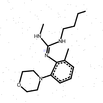 CCCCN/C(=N\c1c(C)cccc1N1CCOCC1)NC